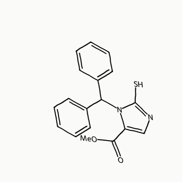 COC(=O)c1cnc(S)n1C(c1ccccc1)c1ccccc1